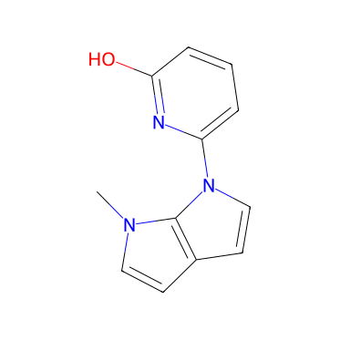 Cn1ccc2ccn(-c3cccc(O)n3)c21